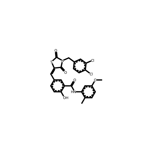 COc1ccc(C)c(NC(=O)c2cc(C=C3SC(=O)N(Cc4ccc(Cl)c(Cl)c4)C3=O)ccc2O)c1